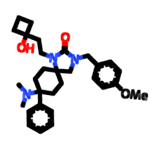 COc1ccc(CN2CC3(CCC(c4ccccc4)(N(C)C)CC3)N(CCC3(O)CCC3)C2=O)cc1